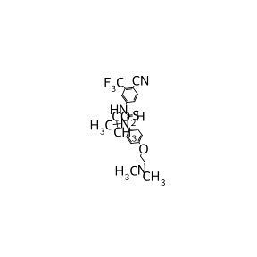 CN(C)CCOc1ccc(N(C(=S)Nc2ccc(C#N)c(C(F)(F)F)c2)C(C)(C)C(=O)O)cc1